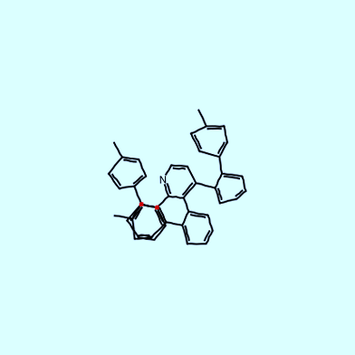 Cc1ccc(-c2ccccc2-c2ccnc(-c3ccccc3-c3ccc(C)cc3)c2-c2ccccc2-c2ccc(C)cc2)cc1